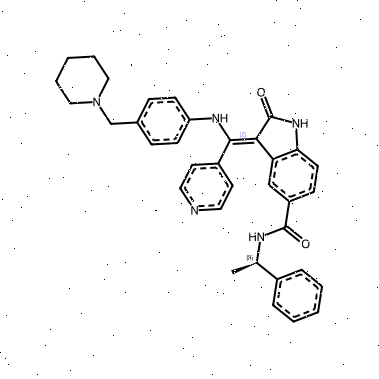 C[C@@H](NC(=O)c1ccc2c(c1)/C(=C(/Nc1ccc(CN3CCCCC3)cc1)c1ccncc1)C(=O)N2)c1ccccc1